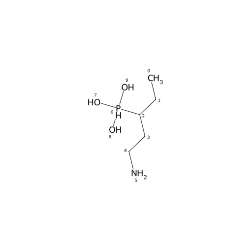 CCC(CCN)[PH](O)(O)O